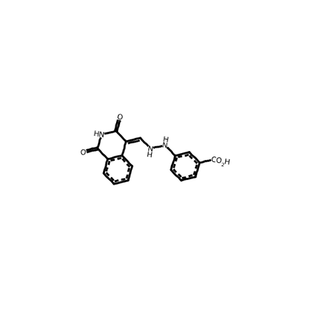 O=C1NC(=O)c2ccccc2C1=CNNc1cccc(C(=O)O)c1